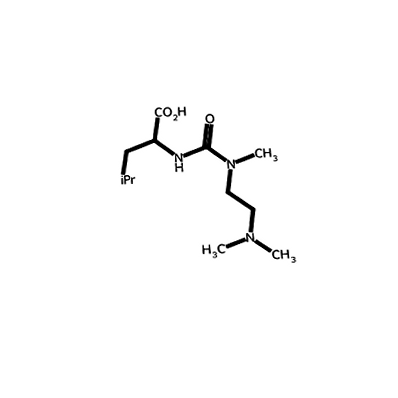 CC(C)CC(NC(=O)N(C)CCN(C)C)C(=O)O